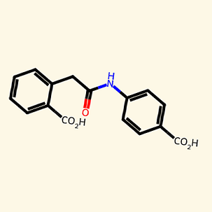 O=C(Cc1ccccc1C(=O)O)Nc1ccc(C(=O)O)cc1